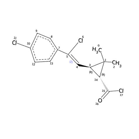 CC1(C)[C@H](/C=C(\Cl)c2ccc(Cl)cc2)[C@H]1C(=O)Cl